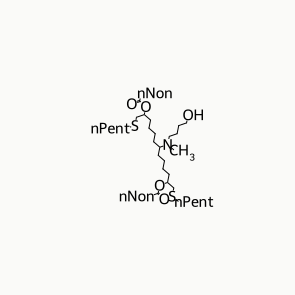 CCCCCCCCCC(=O)OC(CCCCC(CCCCC(CSCCCCC)OC(=O)CCCCCCCCC)N(C)CCCCO)CSCCCCC